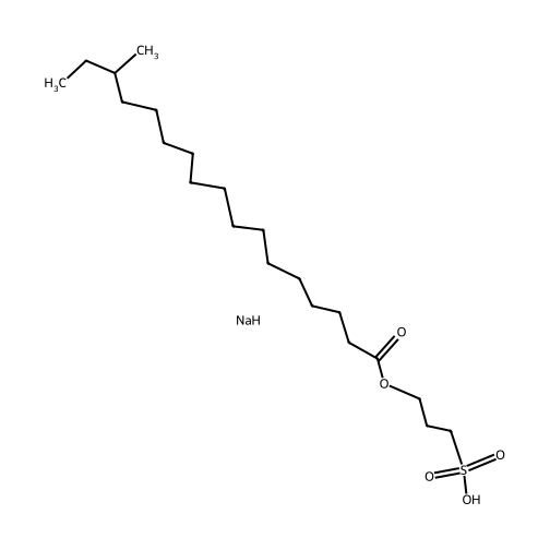 CCC(C)CCCCCCCCCCCCCC(=O)OCCCS(=O)(=O)O.[NaH]